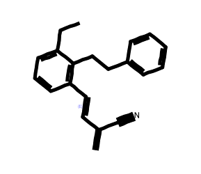 C=C(C#N)/C=C/c1cccc(CC)c1CCc1ccccc1